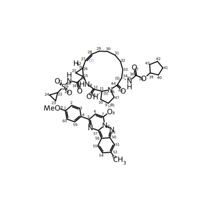 COc1ccc(-c2cc(O[C@@H]3C[C@H]4C(=O)N[C@]5(C(=O)NS(=O)(=O)C6CC6)C[C@H]5/C=C\CCCCC[C@H](NC(=O)OC5CCCC5)C(=O)N4C3)n3nc4cc(C)ccc4c3n2)cc1